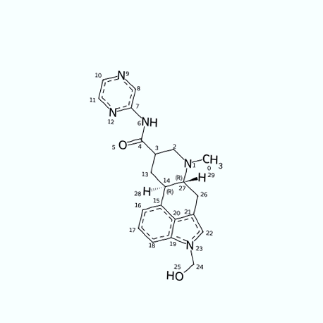 CN1CC(C(=O)Nc2cnccn2)C[C@@H]2c3cccc4c3c(cn4CO)C[C@H]21